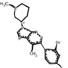 Cc1c(-c2ccc(C(F)(F)F)cc2O)nnc2c1ncn2[C@@H]1CCCN(C)C1